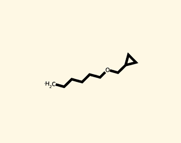 [CH2]CCCCCOCC1CC1